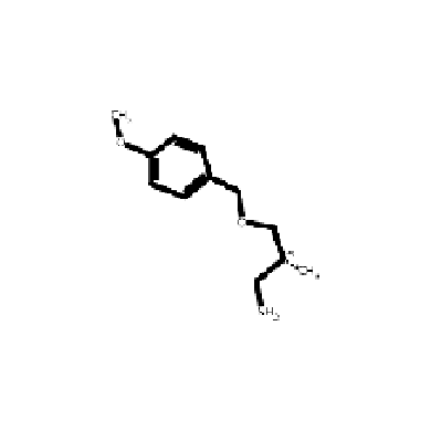 COc1ccc(COC[C@H](C)CN)cc1